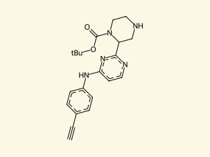 C#Cc1ccc(Nc2ccnc(C3CNCCN3C(=O)OC(C)(C)C)n2)cc1